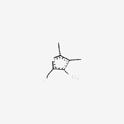 Cc1sc(O)c(C=O)c1C